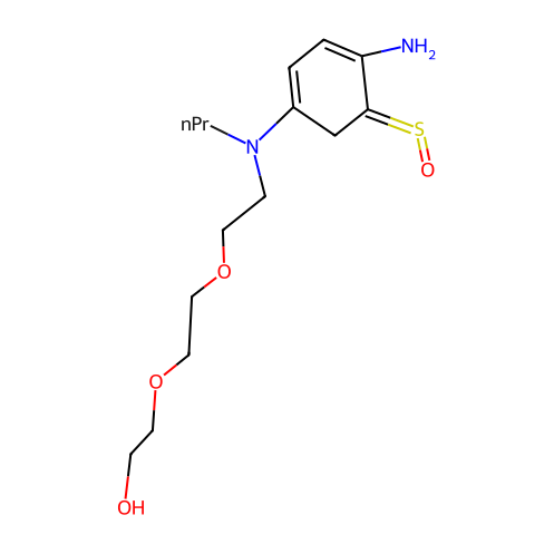 CCCN(CCOCCOCCO)C1=CC=C(N)C(=S=O)C1